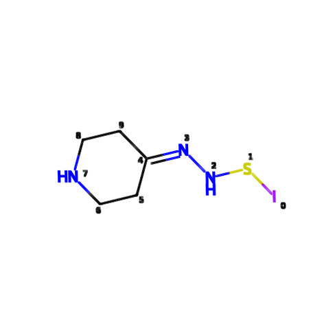 ISNN=C1CCNCC1